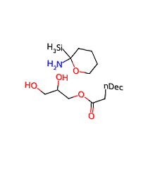 CCCCCCCCCCCC(=O)OCC(O)CO.NC1([SiH3])CCCCO1